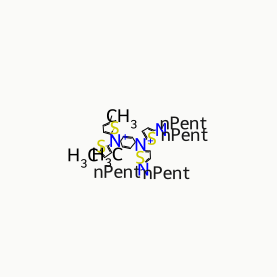 CCCCCN(CCCCC)c1ccc([N+](=C2C=CC(=[N+](c3ccc(C)s3)c3ccc(C)s3)C(C)=C2)c2ccc(N(CCCCC)CCCCC)s2)s1